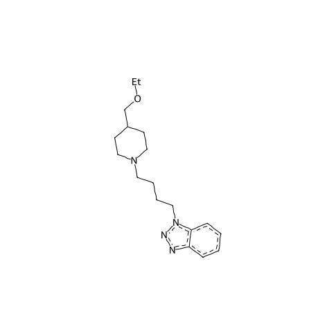 CCOCC1CCN(CCCCn2nnc3ccccc32)CC1